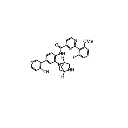 COc1cccc(F)c1-c1nccc(C(=O)Nc2ccc(-c3cnccc3C#N)cc2N2C[C@@H]3C[C@H]2CN3)n1